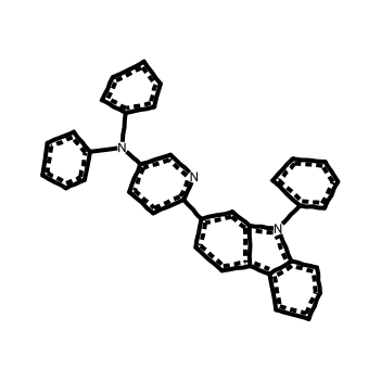 c1ccc(N(c2ccccc2)c2ccc(-c3ccc4c5ccccc5n(-c5ccccc5)c4c3)nc2)cc1